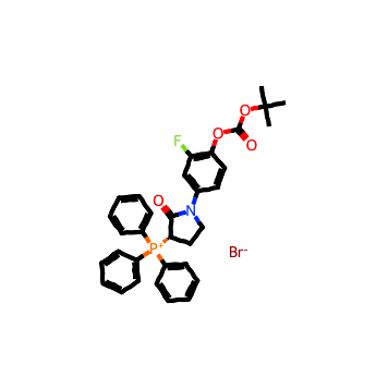 CC(C)(C)OC(=O)Oc1ccc(N2CC[C@@H]([P+](c3ccccc3)(c3ccccc3)c3ccccc3)C2=O)cc1F.[Br-]